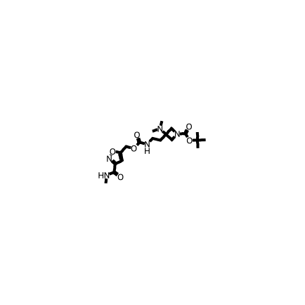 CNC(=O)c1cc(COC(=O)NCCC2(N(C)C)CN(C(=O)OC(C)(C)C)C2)on1